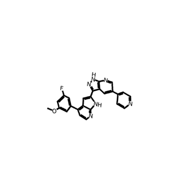 COc1cc(F)cc(-c2ccnc3[nH]c(-c4n[nH]c5ncc(-c6ccncc6)cc45)cc23)c1